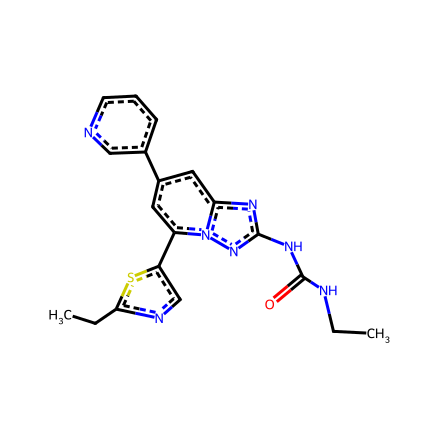 CCNC(=O)Nc1nc2cc(-c3cccnc3)cc(-c3cnc(CC)s3)n2n1